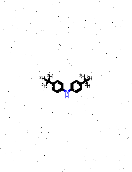 [2H]C([2H])([2H])c1ccc(Nc2ccc(C([2H])([2H])[2H])cc2)cc1